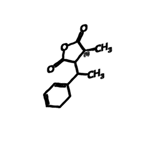 CC(C1=CC=CCC1)C1C(=O)OC(=O)[C@H]1C